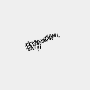 Cc1cccc(C)c1C(C(N)=O)N1CCN(CC(O)COc2ccc(CC(N)=O)cc2)CC1